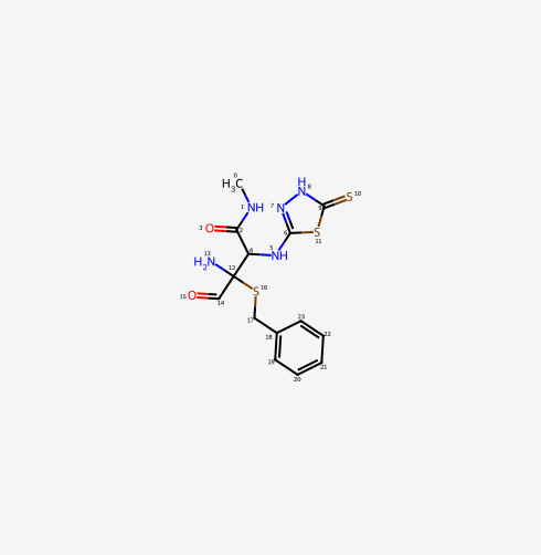 CNC(=O)C(Nc1n[nH]c(=S)s1)C(N)(C=O)SCc1ccccc1